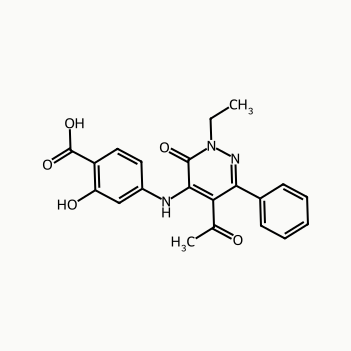 CCn1nc(-c2ccccc2)c(C(C)=O)c(Nc2ccc(C(=O)O)c(O)c2)c1=O